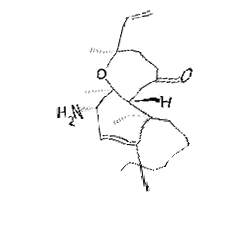 C=C[C@@]1(C)CC(=O)[C@H]2[C@](C)(O1)[C@@H](N)C=C1C(C)(C)CCC[C@@]12C